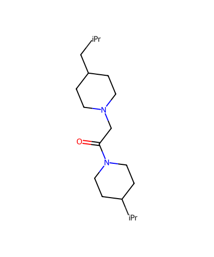 CC(C)CC1CCN(CC(=O)N2CCC(C(C)C)CC2)CC1